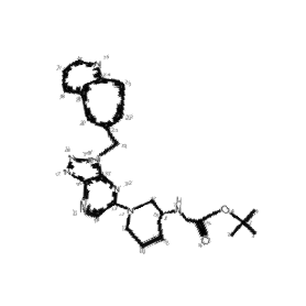 CC(C)(C)OC(=O)N[C@H]1CCCN(c2cnc3nnn(Cc4ccc5ncccc5c4)c3n2)C1